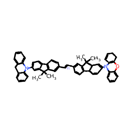 CC1(C)c2cc(/C=C/c3ccc4c(c3)C(C)(C)C3C=C(N5C6=C(CCC=C6)Oc6ccccc65)C=CC43)ccc2-c2ccc(N3c4ccccc4Cc4ccccc43)cc21